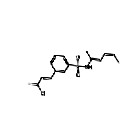 C=C(Cl)/C=C/c1cccc(S(=O)(=O)N/C(C)=C/C=C\C)c1